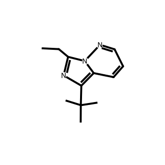 CCc1nc(C(C)(C)C)c2cccnn12